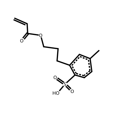 C=CC(=O)OCCCc1cc(C)ccc1S(=O)(=O)O